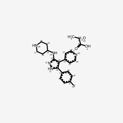 CCC(=O)O.Fc1ccc(-c2[nH]nc(NC3CCNCC3)c2-c2ccncc2)cc1.O